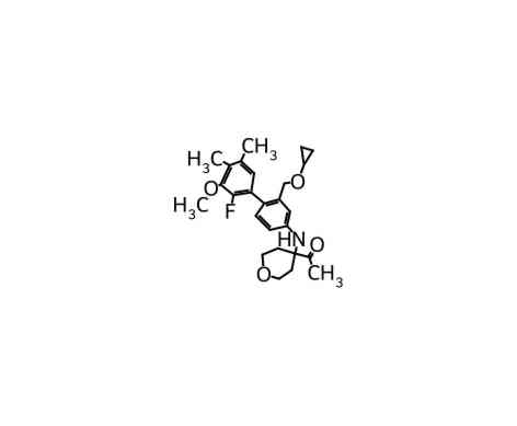 COc1c(C)c(C)cc(-c2ccc(NC3(C(C)=O)CCOCC3)cc2COC2CC2)c1F